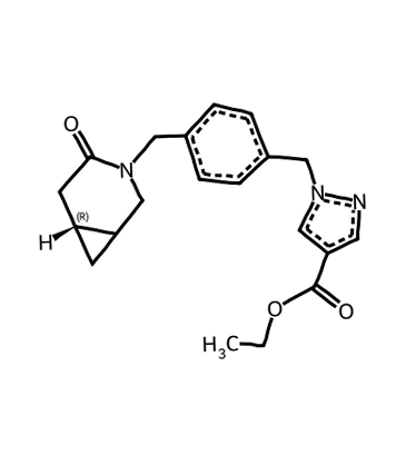 CCOC(=O)c1cnn(Cc2ccc(CN3CC4C[C@@H]4CC3=O)cc2)c1